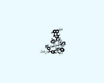 C#Cc1c(F)ccc2cc(O)cc(-c3ncc4c(N5C[C@H]6CC[C@@H](C5)N6)nc(OC[C@@]5(C(=O)NCCOCCOc6cc(C(CC(=O)OCC)c7ccc(C)c(CN8C[C@@H](C)Oc9ccccc9S8(=O)=O)c7)cc7nnn(C)c67)CCCN5C)nc4c3F)c12